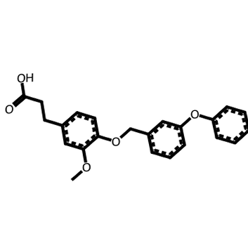 COc1cc(CCC(=O)O)ccc1OCc1cccc(Oc2ccccc2)c1